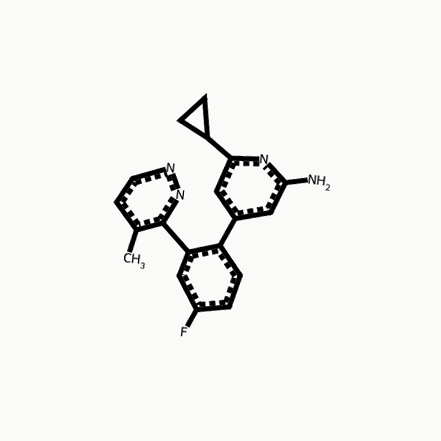 Cc1ccnnc1-c1cc(F)ccc1-c1cc(N)nc(C2CC2)c1